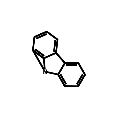 c1ccc2c(c1)c1cccc3c1n2-3